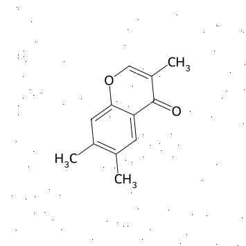 Cc1cc2occ(C)c(=O)c2cc1C